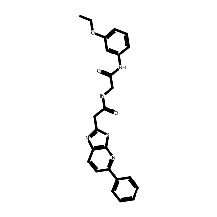 CCOc1cccc(NC(=O)CNC(=O)Cc2nc3ccc(-c4ccccc4)nc3s2)c1